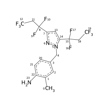 Cc1cc(Cn2nc(C(F)(F)CC(F)(F)F)cc2C(F)(F)CC(F)(F)F)ccc1N